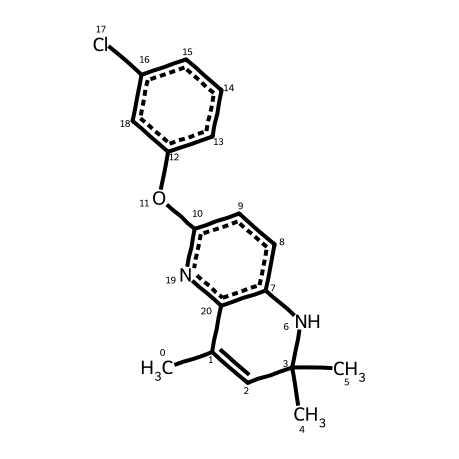 CC1=CC(C)(C)Nc2ccc(Oc3cccc(Cl)c3)nc21